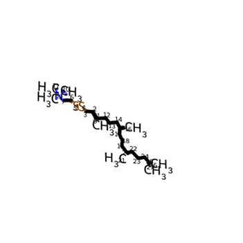 C/C(=C\CSSCC[N+](C)(C)C)CCCC(C)CCCC(C)CCCC(C)C